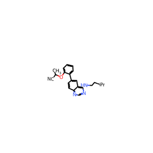 CC(C)CCNc1ncnc2ccc(-c3ccccc3OC(C)C#N)cc12